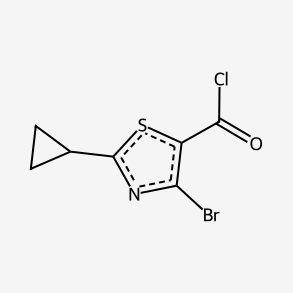 O=C(Cl)c1sc(C2CC2)nc1Br